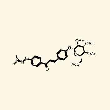 CC(=O)OC[C@@H]1O[C@H](Oc2ccc(/C=C/C(=O)c3ccc(/N=N/N(C)C)cc3)cc2)[C@@H](OC(C)=O)[C@H](OC(C)=O)[C@H]1OC(C)=O